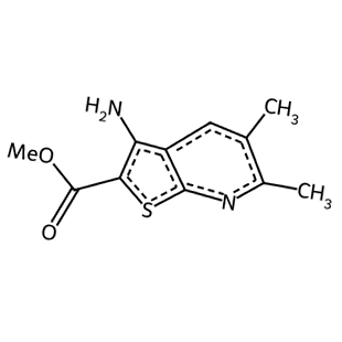 COC(=O)c1sc2nc(C)c(C)cc2c1N